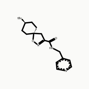 CC(C)(C)[C@H]1CC[C@]2(CC1)CC(C(=O)NCc1ccncc1)=NO2